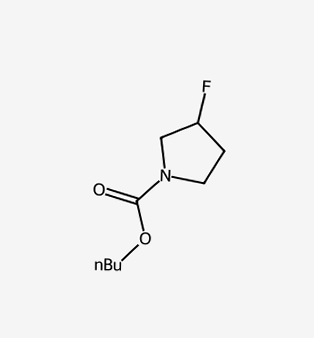 CCCCOC(=O)N1CCC(F)C1